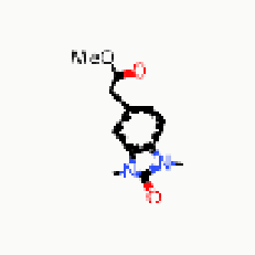 COC(=O)Cc1ccc2c(c1)n(C)c(=O)n2C